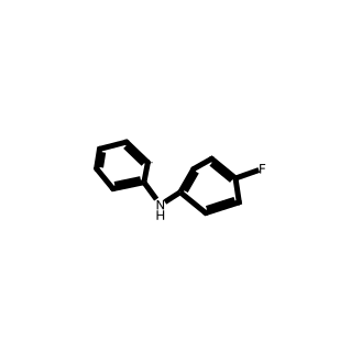 Fc1ccc(Nc2[c]cccc2)cc1